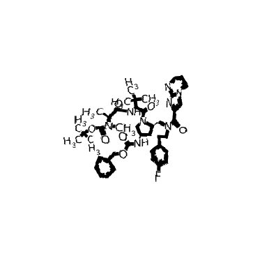 C[C@@H](C(=O)N[C@H](C(=O)N1C[C@@H](NC(=O)OCc2ccccc2)C[C@H]1CN(CCc1ccc(F)cc1)C(=O)c1cn2cccnc2n1)C(C)(C)C)N(C)C(=O)OC(C)(C)C